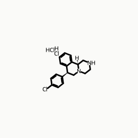 Cl.Cl.Clc1ccc([C@@H]2CN3CCNC[C@@H]3c3ccccc32)cc1